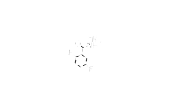 CC(C)(C)NC(=O)c1cc(F)ccc1F